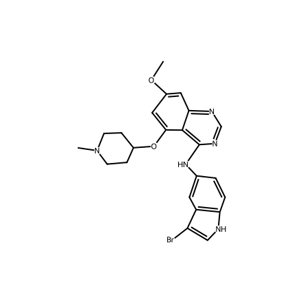 COc1cc(OC2CCN(C)CC2)c2c(Nc3ccc4[nH]cc(Br)c4c3)ncnc2c1